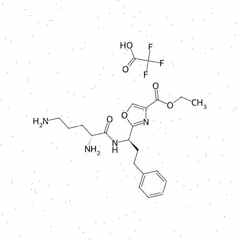 CCOC(=O)c1coc([C@@H](CCc2ccccc2)NC(=O)[C@H](N)CCCN)n1.O=C(O)C(F)(F)F